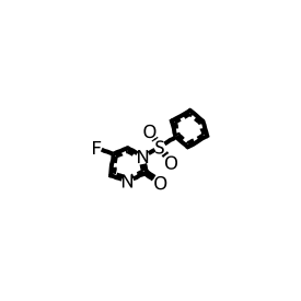 O=c1ncc(F)cn1S(=O)(=O)c1ccccc1